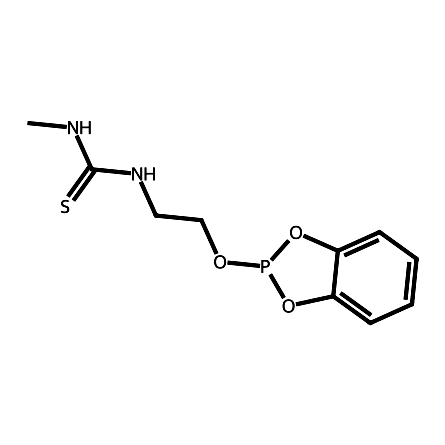 CNC(=S)NCCOP1Oc2ccccc2O1